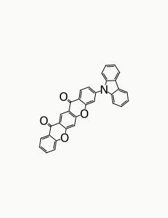 O=c1c2ccccc2oc2cc3oc4cc(-n5c6ccccc6c6ccccc65)ccc4c(=O)c3cc12